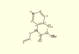 C=CCN(C(=O)OC(C)(C)C)c1cnccc1Cl